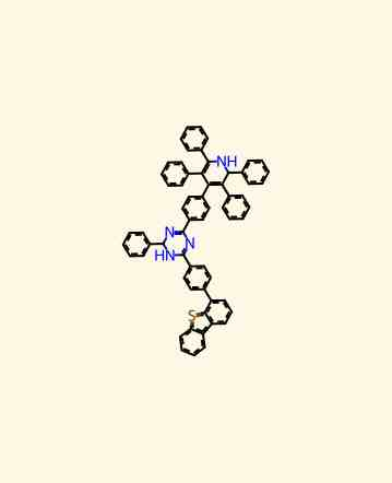 c1ccc(C2=C(c3ccccc3)C(c3ccc(C4=NC(c5ccccc5)NC(c5ccc(-c6cccc7c6sc6ccccc67)cc5)=N4)cc3)=C(c3ccccc3)C(c3ccccc3)N2)cc1